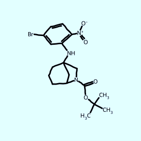 CC(C)(C)OC(=O)N1CC2(Nc3cc(Br)ccc3[N+](=O)[O-])CCCC1C2